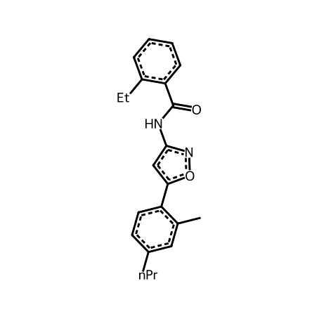 CCCc1ccc(-c2cc(NC(=O)c3ccccc3CC)no2)c(C)c1